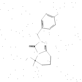 Cc1ccc(Cn2nc3n(c2=O)C(C)(OC(=O)O)CCC3)cc1